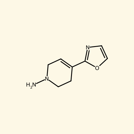 NN1CC=C(c2ncco2)CC1